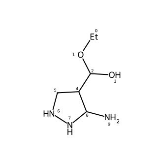 CCOC(O)C1CNNC1N